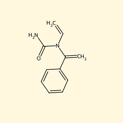 C=CN(C(=C)c1ccccc1)C(N)=O